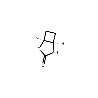 O=C1N[C@@H]2CC[C@@H]2O1